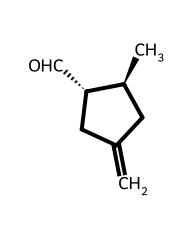 C=C1C[C@H](C)[C@@H](C=O)C1